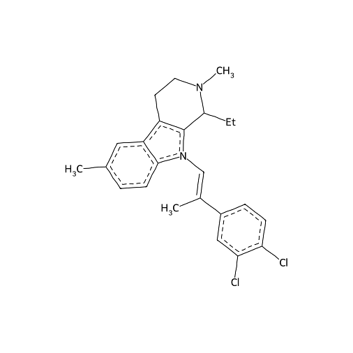 CCC1c2c(c3cc(C)ccc3n2C=C(C)c2ccc(Cl)c(Cl)c2)CCN1C